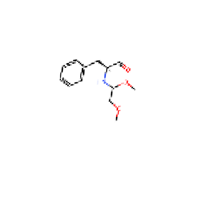 COCC(N[C@H](C=O)Cc1ccccc1)OC